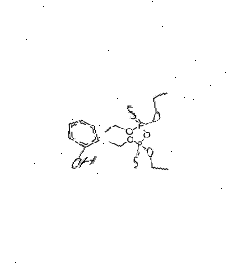 CCOP(=S)(OCC)OP(=S)(OCC)OCC.Oc1ccccc1